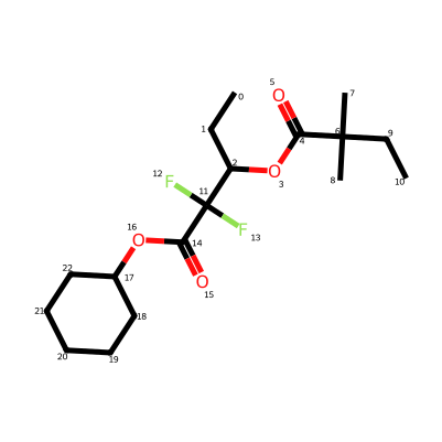 CCC(OC(=O)C(C)(C)CC)C(F)(F)C(=O)OC1CCCCC1